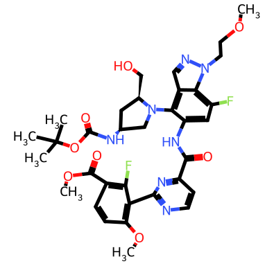 COCCn1ncc2c(N3C[C@@H](NC(=O)OC(C)(C)C)C[C@H]3CO)c(NC(=O)c3ccnc(-c4c(OC)ccc(C(=O)OC)c4F)n3)cc(F)c21